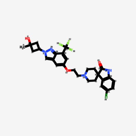 CC1(O)CC(n2cc3cc(OCCN4CCC5(CC4)C(=O)Nc4ccc(Cl)cc45)cc(C(F)(F)F)c3n2)C1